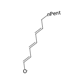 CCCCCC/C=C/C=C/C=C/[O]